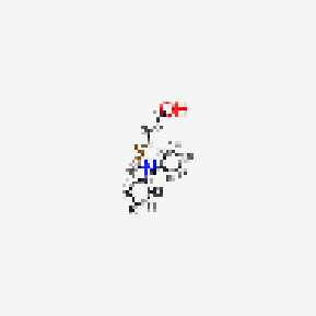 OCC=CCSc1cc2ccccc2n1-c1ccccc1